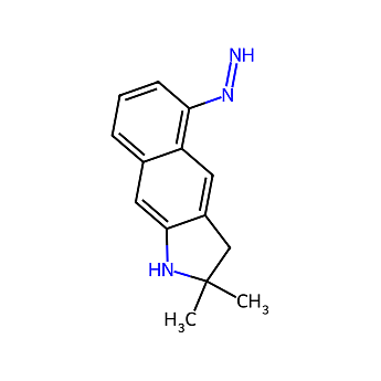 CC1(C)Cc2cc3c(N=N)cccc3cc2N1